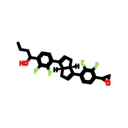 CCCC(O)c1ccc(C2=CC[C@H]3C(c4ccc(C5CO5)c(F)c4F)=CC[C@@H]23)c(F)c1F